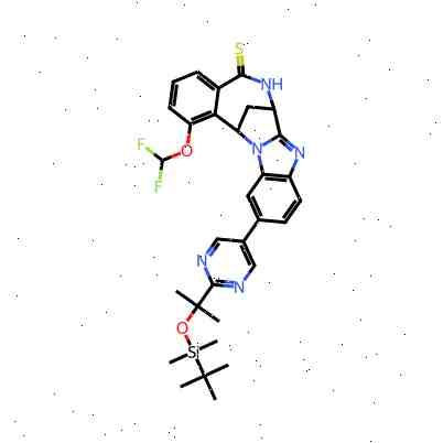 CC(C)(O[Si](C)(C)C(C)(C)C)c1ncc(-c2ccc3nc4n(c3c2)C2CC4NC(=S)c3cccc(OC(F)F)c32)cn1